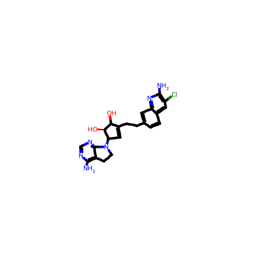 Nc1nc2cc(CCC3=CC(N4CCc5c(N)ncnc54)[C@@H](O)C3O)ccc2cc1Cl